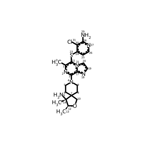 Cc1nc(N2CCC3(CC2)CO[C@@H](C)[C@]3(C)N)c2nccn2c1Sc1ccnc(N)c1Cl